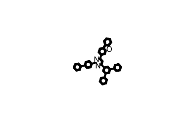 c1ccc(-c2ccc(-c3nc(-c4cc(-c5ccccc5)cc(-c5ccccc5)c4)cc(-c4ccc5c(c4)oc4ccccc45)n3)cc2)cc1